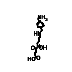 NCc1ccc(CNCCCCN(O)C(=O)/C=C/C(=O)O)cc1